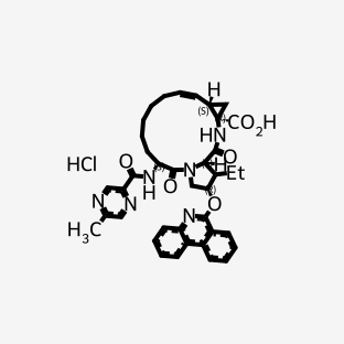 CCC1[C@@H](Oc2nc3ccccc3c3ccccc23)CN2C(=O)[C@@H](NC(=O)c3cnc(C)cn3)CCCCCC=C[C@@H]3C[C@@]3(C(=O)O)NC(=O)[C@H]12.Cl